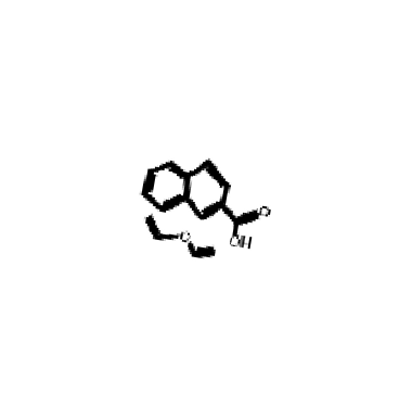 C=COC=C.O=C(O)c1ccc2ccccc2c1